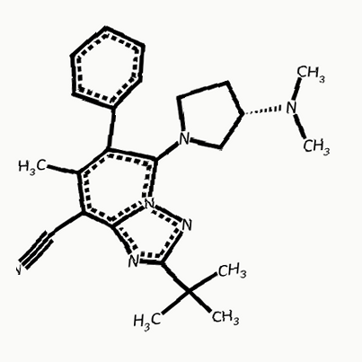 Cc1c(-c2ccccc2)c(N2CC[C@H](N(C)C)C2)n2nc(C(C)(C)C)nc2c1C#N